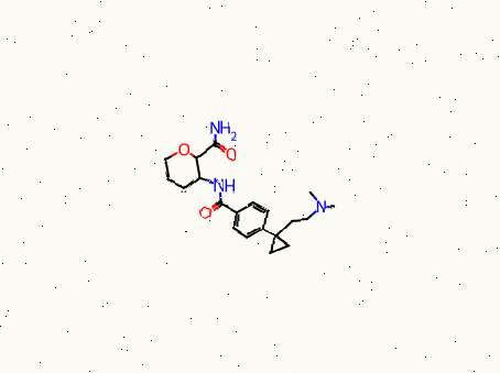 CN(C)CCC1(c2ccc(C(=O)NC3[C]CCOC3C(N)=O)cc2)CC1